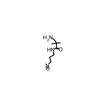 CC(C)(CN)C(=O)NCCCN=O